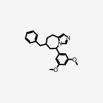 COc1cc(OC)cc(C2CC(Cc3ccccc3)CCc3cncn32)c1